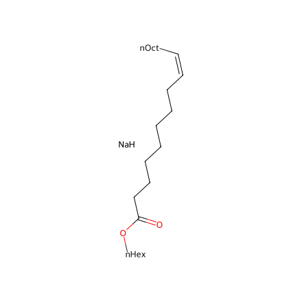 CCCCCCCC/C=C\CCCCCCCC(=O)OCCCCCC.[NaH]